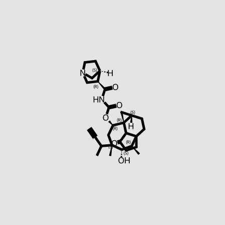 C#CC(C)[C@]1(C)C[C@@H](OC(=O)NC(=O)[C@H]2CN3CC[C@@H]2C3)[C@]23C[C@@H]2CCC2(CCC(=O)C23)[C@@H](C)[C@@H]1O